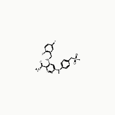 CS(=O)(=O)Cc1ccc(Nc2cc(NCc3cc(F)ccc3F)c(C(N)=O)nn2)cc1